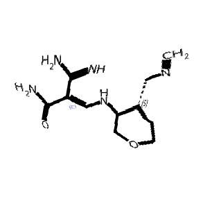 C=NC[C@@H]1CCOCC1N/C=C(\C(=N)N)C(N)=O